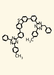 Cc1ccc(-c2nc(Cc3ccccc3)nc(-c3cccc(-c4ccc5sc6ccc(-c7cccc(-c8nc(-c9ccccc9)nc(-c9ccc(C)cc9)n8)c7)cc6c5c4)c3)n2)cc1